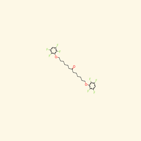 O=C(CCCCCCOc1c(F)c(F)cc(F)c1F)CCCCCCOc1c(F)c(F)cc(F)c1F